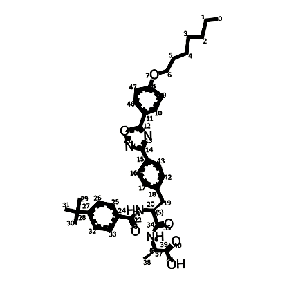 CCCCCCCOc1ccc(-c2nc(-c3ccc(C[C@H](NC(=O)c4ccc(C(C)(C)C)cc4)C(=O)N[C@H](C)C(=O)O)cc3)no2)cc1